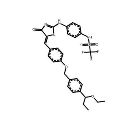 CCOC(CC)c1ccc(COc2ccc(/C=C3\SC(Nc4ccc(NS(=O)(=O)C(F)(F)F)cc4)=NC3=O)cc2)cc1